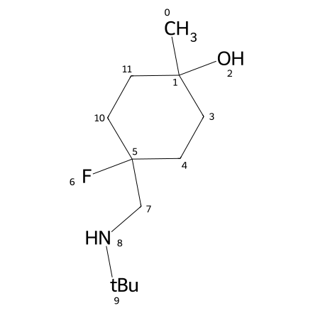 CC1(O)CCC(F)(CNC(C)(C)C)CC1